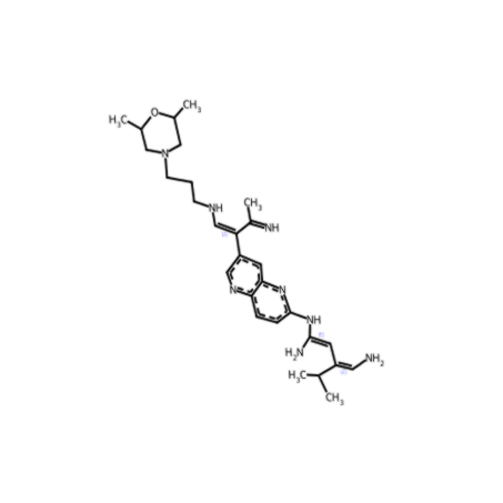 CC(=N)/C(=C\NCCCN1CC(C)OC(C)C1)c1cnc2ccc(N/C(N)=C/C(=C\N)C(C)C)nc2c1